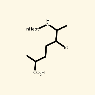 CCCCCCCNC(C)C(CC)CCC(C)C(=O)O